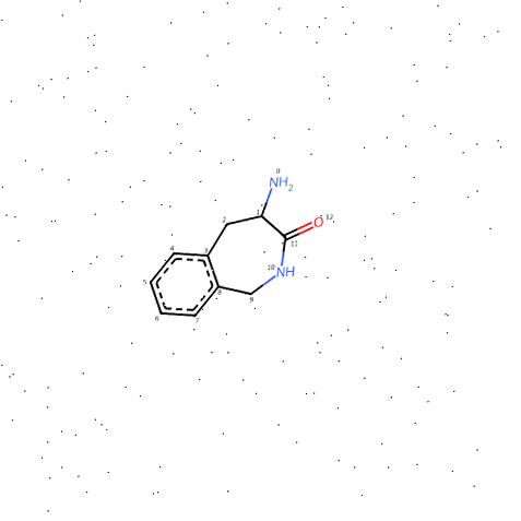 NC1Cc2ccccc2CNC1=O